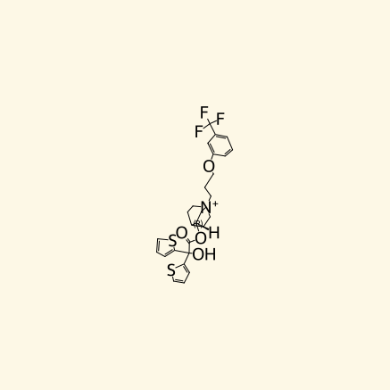 O=C(O[C@H]1C[N+]2(CCCOc3cccc(C(F)(F)F)c3)CCC1CC2)C(O)(c1cccs1)c1cccs1